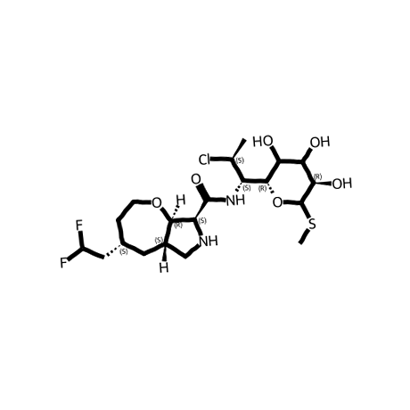 CSC1O[C@H]([C@H](NC(=O)[C@H]2NC[C@@H]3C[C@H](CC(F)F)CCO[C@H]32)[C@H](C)Cl)C(O)C(O)[C@H]1O